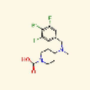 CN(Cc1cc(F)c(Br)c(F)c1)C1CCN(C(=O)O)CC1